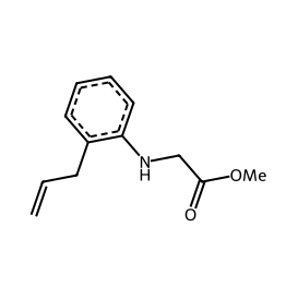 C=CCc1ccccc1NCC(=O)OC